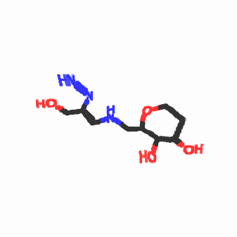 N=N/C(=C\NCC1OCCC(O)C1O)CO